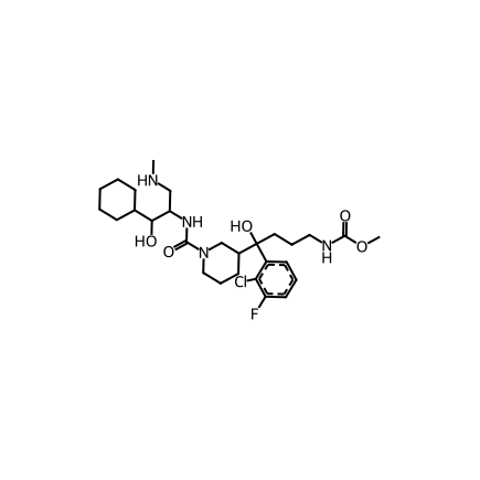 CNCC(NC(=O)N1CCCC(C(O)(CCCNC(=O)OC)c2cccc(F)c2Cl)C1)C(O)C1CCCCC1